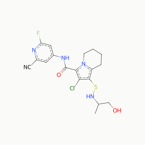 CC(CO)NSc1c(Cl)c(C(=O)Nc2cc(F)nc(C#N)c2)n2c1CCCC2